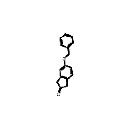 O=C1Cc2ccc(OCc3ccccc3)cc2C1